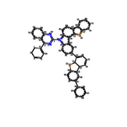 C1=CCCC(c2nc(-n3c4ccc(C5=CC=CC6c7cc(-c8ccccc8)ccc7SC56)cc4c4c5sc6ccccc6c5ccc43)nc3ccccc23)=C1